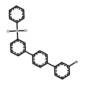 Cl[Si](Cl)(c1ccccc1)c1cccc(-c2ccc(-c3cccc(Br)c3)cc2)c1